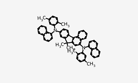 Cc1ccc(C)c(N(c2ccc3c(c2)C(C)(C)c2cc(N(c4cc(C)ccc4C)c4cccc5ccccc45)c4ccccc4c2-3)c2cccc3ccccc23)c1